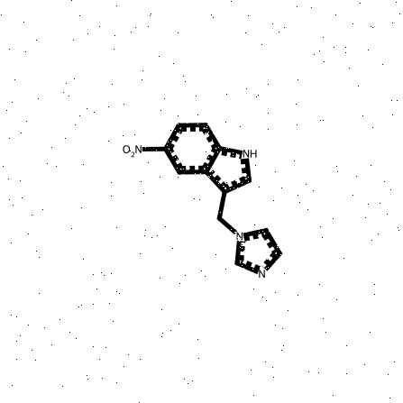 O=[N+]([O-])c1ccc2[nH]cc(Cn3ccnc3)c2c1